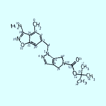 Cc1cc(Cn2ncc3c2CN(C(=O)OC(C)(C)C)C3)cc2onc(N)c12